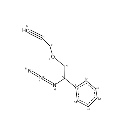 C#CCOCC(N=[N+]=[N-])c1ccccc1